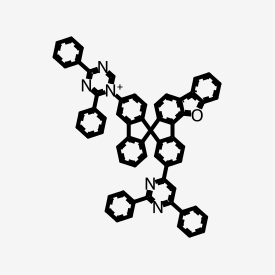 c1ccc(-c2cc(-c3ccc4c(c3)C3(c5ccccc5-c5cc(-[n+]6cnc(-c7ccccc7)nc6-c6ccccc6)ccc53)c3ccc5c(oc6ccccc65)c3-4)nc(-c3ccccc3)n2)cc1